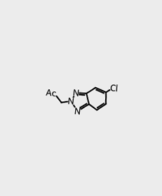 CC(=O)Cn1nc2ccc(Cl)cc2n1